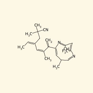 C=C(/C(C)=C\C(=C/C)CC(C)(C)C#N)C1=C\C(C)\C=N/C(C(F)(F)F)=C/C(C)=N/1